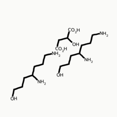 NCCCC(N)CCCO.NCCCC(N)CCCO.O=C(O)CC(O)C(=O)O